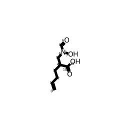 C=CCCC(CN(O)C=O)C(=O)O